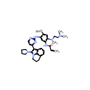 C=CC(=O)Nc1cc(Nc2nccc(-c3c(N4CCCC4)n4c5c(cccc35)CCC4)n2)c(OC)cc1N(C)CCN(C)C